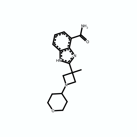 CC1(c2nc3c(C(N)=O)cccc3[nH]2)CN(C2CCOCC2)C1